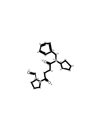 O=C[C@@H]1CCCN1C(=O)CCC(=O)N(Cc1ccccc1)C1CCCC1